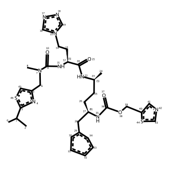 CC(C)c1nc(CN(C)C(=O)N[C@@H](CCn2cnnc2)C(=O)N[C@@H](C)CC[C@H](Cc2ccccc2)NC(=O)OCc2cncs2)cs1